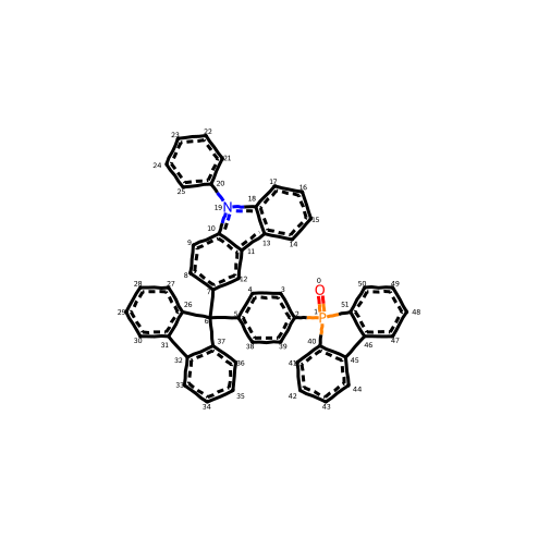 O=P1(c2ccc(C3(c4ccc5c(c4)c4ccccc4n5-c4ccccc4)c4ccccc4-c4ccccc43)cc2)c2ccccc2-c2ccccc21